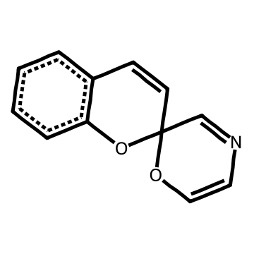 C1=COC2(C=Cc3ccccc3O2)C=N1